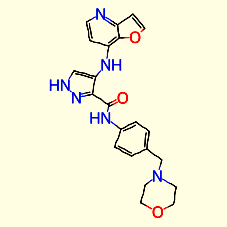 O=C(Nc1ccc(CN2CCOCC2)cc1)c1n[nH]cc1Nc1ccnc2ccoc12